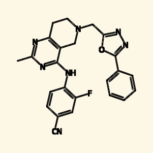 Cc1nc2c(c(Nc3ccc(C#N)cc3F)n1)CN(Cc1nnc(-c3ccccc3)o1)CC2